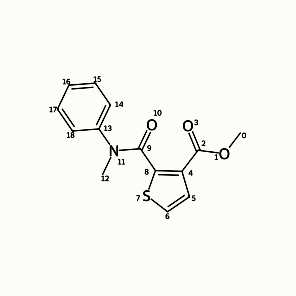 COC(=O)c1ccsc1C(=O)N(C)c1ccccc1